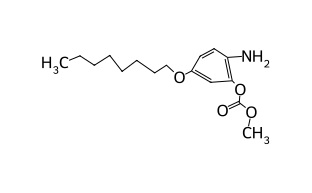 CCCCCCCCOc1ccc(N)c(OC(=O)OC)c1